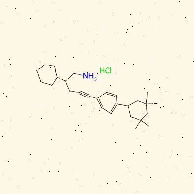 CC1(C)CC(c2ccc(C#CCC(CN)C3CCCCC3)cc2)CC(C)(C)C1.Cl